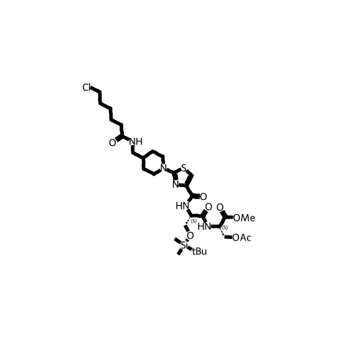 COC(=O)[C@H](COC(C)=O)NC(=O)[C@H](CO[Si](C)(C)C(C)(C)C)NC(=O)c1csc(N2CCC(CNC(=O)CCCCCCl)CC2)n1